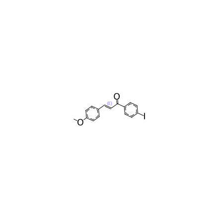 COc1ccc(/C=C/C(=O)c2ccc(I)cc2)cc1